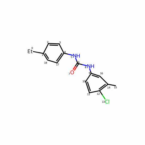 CCc1ccc(NC(=O)Nc2ccc(Cl)c(C)c2)cc1